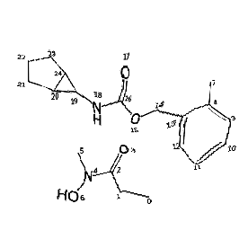 CCC(=O)N(C)O.Cc1ccccc1COC(=O)NC1C2CCCC21